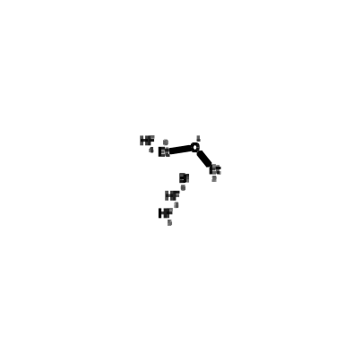 CCOCC.F.F.F.[B]